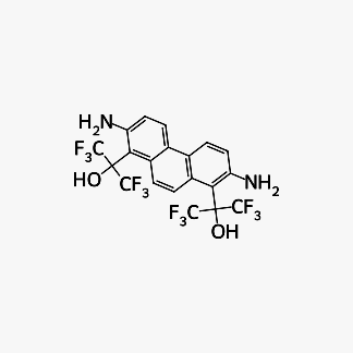 Nc1ccc2c(ccc3c(C(O)(C(F)(F)F)C(F)(F)F)c(N)ccc32)c1C(O)(C(F)(F)F)C(F)(F)F